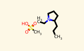 CCCC1CCCN1CC.CS(=O)(=O)O